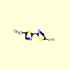 O=Cc1cnc(-c2ncc(C=O)s2)s1